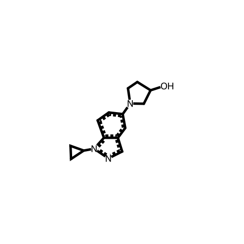 OC1CCN(c2ccc3c(cnn3C3CC3)c2)C1